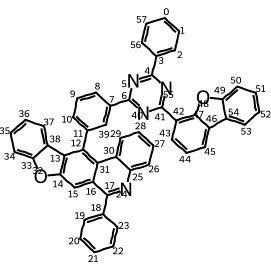 c1ccc(-c2nc(-c3cccc(-c4c5c(cc6c(-c7ccccc7)nc7ccccc7c46)oc4ccccc45)c3)nc(-c3cccc4c3oc3ccccc34)n2)cc1